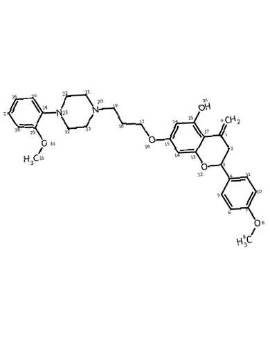 C=C1CC(c2ccc(OC)cc2)Oc2cc(OCCCN3CCN(c4ccccc4OC)CC3)cc(O)c21